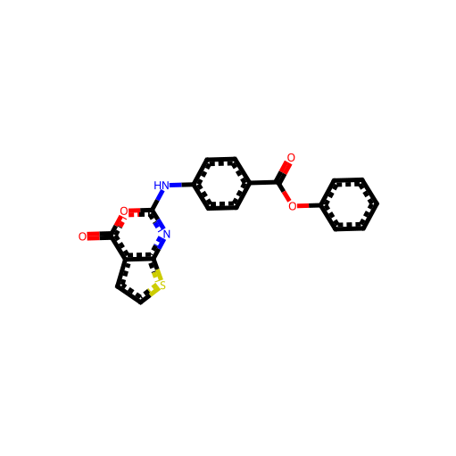 O=C(Oc1ccccc1)c1ccc(Nc2nc3sccc3c(=O)o2)cc1